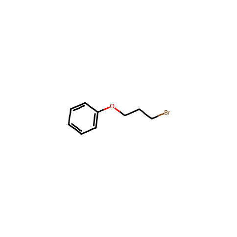 BrCCCOc1cc[c]cc1